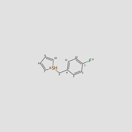 Fc1ccc(C[SH]2C=CC=C2)cc1